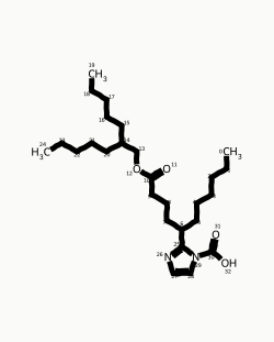 CCCCCCC(CCCC(=O)OCC(CCCCC)CCCCC)c1nccn1C(=O)O